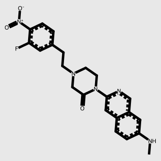 CNc1ccc2cc(N3CCN(CCc4ccc([N+](=O)[O-])c(F)c4)CC3=O)ncc2c1